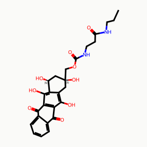 CCCNC(=O)CCNC(=O)OC[C@]1(O)Cc2c(O)c3c(c(O)c2[C@@H](O)C1)C(=O)c1ccccc1C3=O